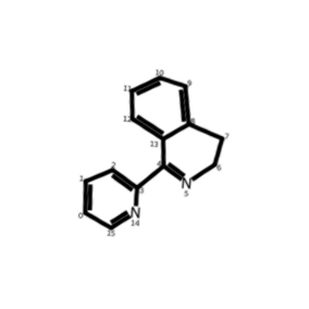 c1ccc(C2=NCCc3ccccc32)nc1